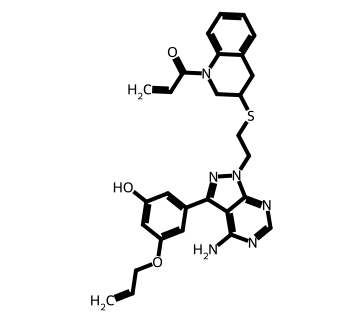 C=CCOc1cc(O)cc(-c2nn(CCSC3Cc4ccccc4N(C(=O)C=C)C3)c3ncnc(N)c23)c1